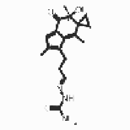 CC1=C(CCC=NNC(N)=O)C2=C(C)C3(CC3)[C@@](C)(O)C(=O)C2=C1